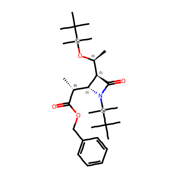 C[C@H](O[Si](C)(C)C(C)(C)C)[C@H]1C(=O)N([Si](C)(C)C(C)(C)C)[C@@H]1[C@@H](C)C(=O)OCc1ccccc1